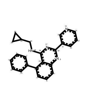 c1ccc(-c2cccc3nc(-c4cccnc4)nc(NCC4CC4)c23)cc1